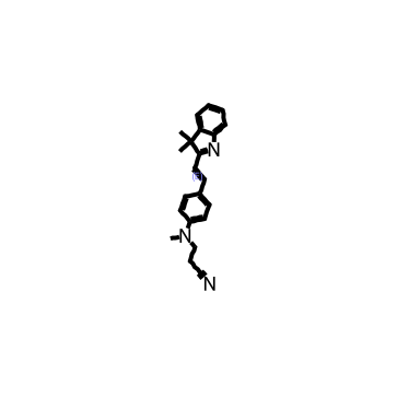 CN(CCC#N)c1ccc(/C=C/C2=Nc3ccccc3C2(C)C)cc1